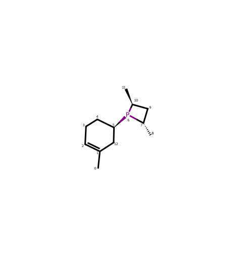 CC1=CCC[C@@H](P2[C@@H](C)C[C@@H]2C)C1